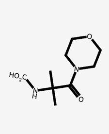 CC(C)(NC(=O)O)C(=O)N1CCOCC1